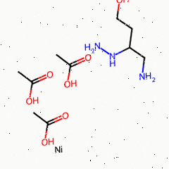 CC(=O)O.CC(=O)O.CC(=O)O.NCC(CCO)NN.[Ni]